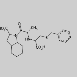 C[C@H](NC(CSCc1ccccc1)C(=O)O)C(=O)N1C(C(=O)O)CC2CCCCC21